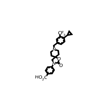 O=C(O)c1ccc(N2CC3(CCN(Cc4ccc(C5CC5)c(C(F)(F)F)c4)CC3)OC2=O)cc1